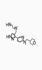 CNCCN(C)Cc1c[nH]nc1-c1ccc(N(C)CC2CCOCC2)nc1